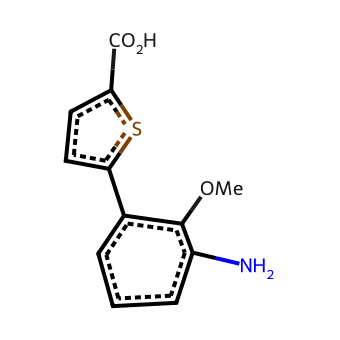 COc1c(N)cccc1-c1ccc(C(=O)O)s1